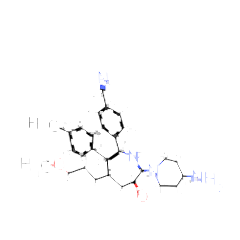 COCCCC1CC(=O)C(N2CCC(N)CC2)=NC(c2ccc(C#N)cc2)=C1c1ccc(C)cc1